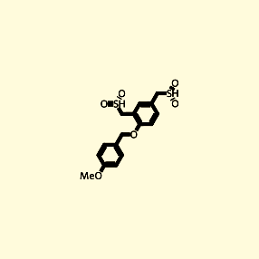 COc1ccc(COc2ccc(C[SH](=O)=O)cc2C[SH](=O)=O)cc1